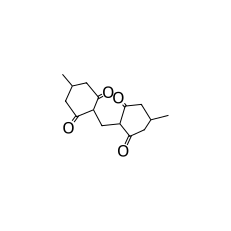 CC1CC(=O)C(CC2C(=O)CC(C)CC2=O)C(=O)C1